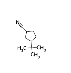 CC(C)(C)C1CCC(C#N)C1